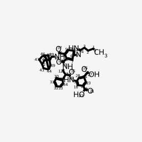 CCCCc1nc2cc(C(=O)NCC(C(=O)Nc3cc(C(=O)O)cc(C(=O)O)c3)c3ccccc3)c(C(=O)NCC34CC5CC(CC(C5)C3)C4)cc2[nH]1